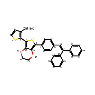 CCCCCCc1ccsc1-c1sc(-c2ccc(C=C(c3ccccc3)c3ccccc3)cc2)c2c1OCCO2